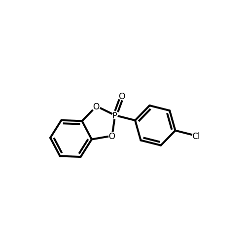 O=P1(c2ccc(Cl)cc2)Oc2ccccc2O1